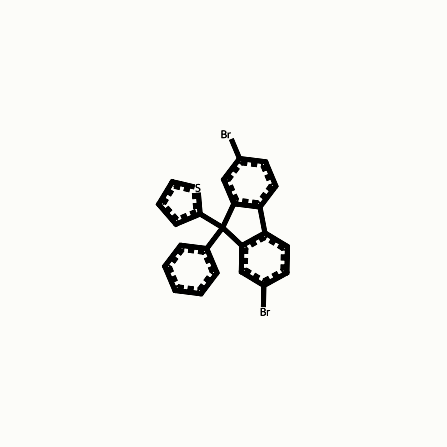 Brc1ccc2c(c1)C(c1ccccc1)(c1cccs1)c1cc(Br)ccc1-2